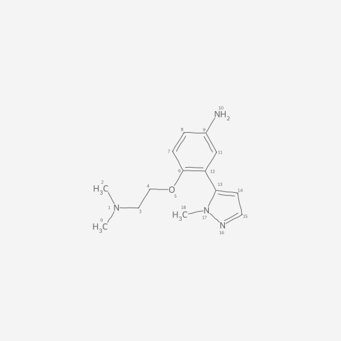 CN(C)CCOc1ccc(N)cc1-c1ccnn1C